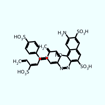 C=C/C(=C\C=C/C=C(\C=C/C(=C)/N=N\c1ccc(S(=O)(=O)O)cc1)/N=N\c1c(S(=O)(=O)O)cc2cc(S(=O)(=O)O)c(N)cc2c1O)S(=O)(=O)O